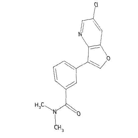 CN(C)C(=O)c1cccc(-c2coc3cc(Cl)cnc23)c1